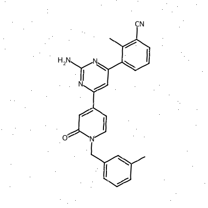 Cc1cccc(Cn2ccc(-c3cc(-c4cccc(C#N)c4C)nc(N)n3)cc2=O)c1